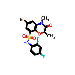 CC1Oc2c(cc(Br)cc2S(=O)(=O)Nc2ccc(F)cc2F)N(C)C1=O